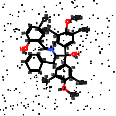 CCCCOc1c(C(C)(C)C)cc(C(O)(c2cc(C(C)(C)C)c(OCCCC)c(C(C)(C)C)c2)C(Cc2ccccc2)N=Cc2cc(C(F)(F)F)ccc2O)cc1C(C)(C)C